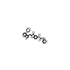 C[C@@H]1CN(c2ccnc3c2c(C=C2Oc4ccc(NC(=O)Nc5cccnc5)cc4C2=O)cn3C)C[C@H](C)O1